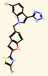 Cc1ccc2c(-c3nnn[nH]3)cn(Cc3ccc4oc(-c5nc(C(C)(C)C)cs5)cc4c3)c2c1